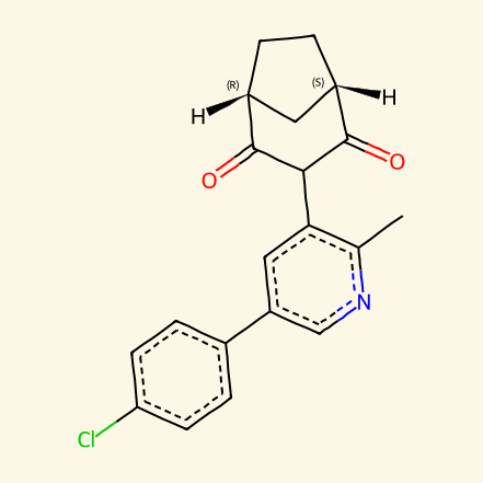 Cc1ncc(-c2ccc(Cl)cc2)cc1C1C(=O)[C@@H]2CC[C@@H](C2)C1=O